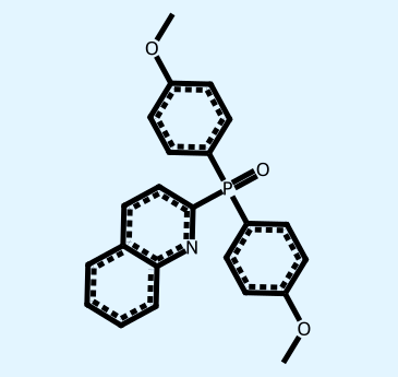 COc1ccc(P(=O)(c2ccc(OC)cc2)c2ccc3ccccc3n2)cc1